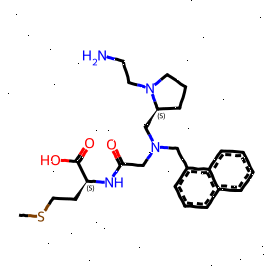 CSCC[C@H](NC(=O)CN(Cc1cccc2ccccc12)C[C@@H]1CCCN1CCN)C(=O)O